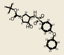 CC(C)(C)OC(=O)N1CC(O)C(NS(=O)(=O)c2ccc(Oc3ccccc3)cc2)C1